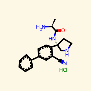 C[C@H](N)C(=O)N[C@]1(c2ccc(-c3ccccc3)cc2C#N)CCNC1.Cl